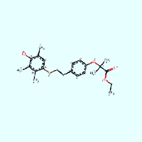 CCOC(=O)C(C)(C)Oc1ccc(CCSc2cc(C)c(O)c(C)c2C)cc1